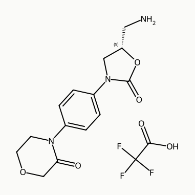 NC[C@H]1CN(c2ccc(N3CCOCC3=O)cc2)C(=O)O1.O=C(O)C(F)(F)F